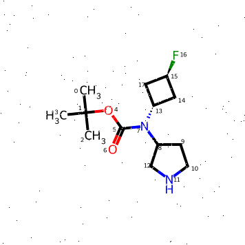 CC(C)(C)OC(=O)N(C1CCNC1)[C@H]1C[C@H](F)C1